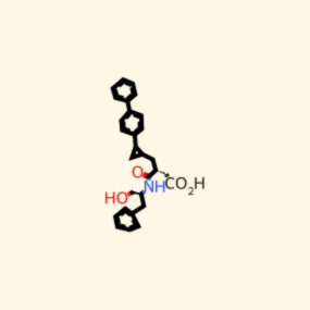 O=C(O)C[C@@H](CC1CC1c1ccc(-c2ccccc2)cc1)C(=O)N[C@H](CO)Cc1ccccc1